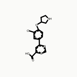 O=C(O)c1cc(-c2ccc(OC3CCNC3)c(Cl)c2)ncn1